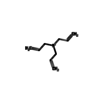 C=CC[S+](CC=C)CC=C